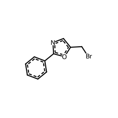 BrCc1cnc(-c2ccccc2)o1